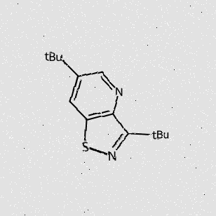 CC(C)(C)c1cnc2c(C(C)(C)C)nsc2c1